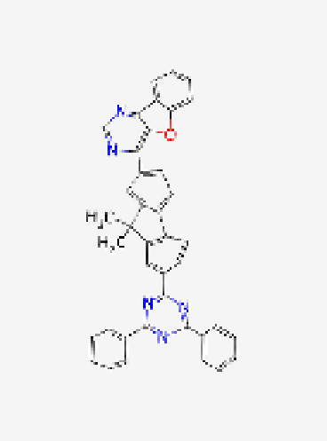 CC1(C)c2cc(-c3nc(-c4ccccc4)nc(-c4ccccc4)n3)ccc2-c2ccc(-c3ncnc4c3oc3ccccc34)cc21